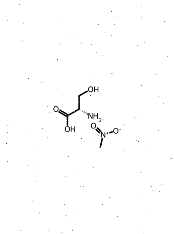 C[N+](=O)[O-].N[C@@H](CO)C(=O)O